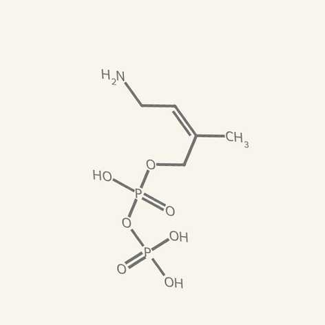 CC(=CCN)COP(=O)(O)OP(=O)(O)O